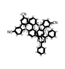 N#Cc1ccc2c(c1)c1cc(C#N)ccc1n2-c1ccc(-c2nc(-c3ccccc3)nc(-c3ccccc3)n2)cc1-c1c(-n2c3ccc(C#N)cc3c3cc(C#N)ccc32)cccc1C(F)(F)F